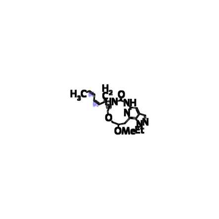 C=C(/C=C\C=C/C)[C@H]1COCC(OC)Cc2nc(cc3cnn(CC)c23)NC(=O)N1